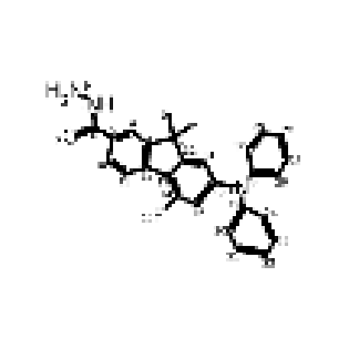 CC1(C)c2cc(C(=O)NN)ccc2-c2c(F)cc(N(c3ccccc3)c3ccccc3)cc21